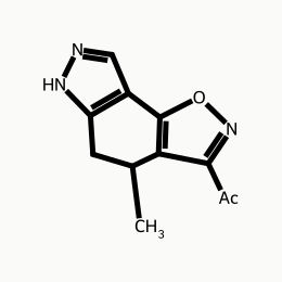 CC(=O)c1noc2c1C(C)Cc1[nH]ncc1-2